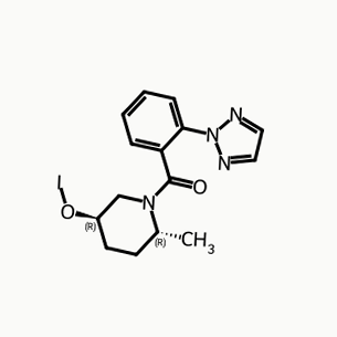 C[C@@H]1CC[C@@H](OI)CN1C(=O)c1ccccc1-n1nccn1